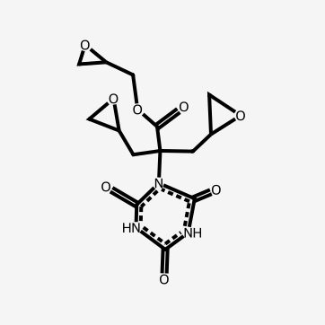 O=C(OCC1CO1)C(CC1CO1)(CC1CO1)n1c(=O)[nH]c(=O)[nH]c1=O